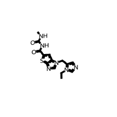 CCn1cncc1Cn1cnc2sc(C(=O)NC(=O)NC)cc21